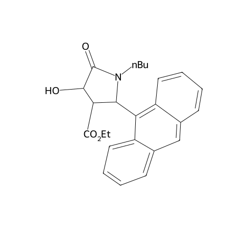 CCCCN1C(=O)C(O)C(C(=O)OCC)C1c1c2ccccc2cc2ccccc12